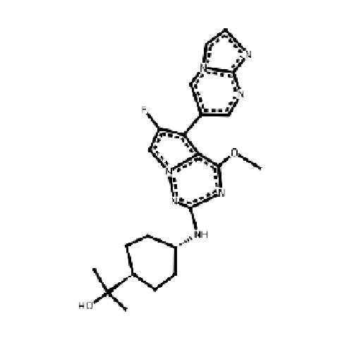 COc1nc(N[C@H]2CC[C@H](C(C)(C)O)CC2)nn2cc(F)c(-c3cnc4nccn4c3)c12